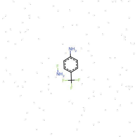 NF.Nc1ccc(C(F)(F)F)cc1